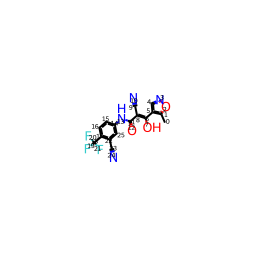 Cc1oncc1/C(O)=C(\C#N)C(=O)Nc1ccc(C(F)(F)F)c(C#N)c1